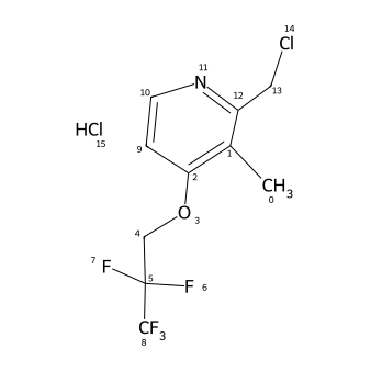 Cc1c(OCC(F)(F)C(F)(F)F)ccnc1CCl.Cl